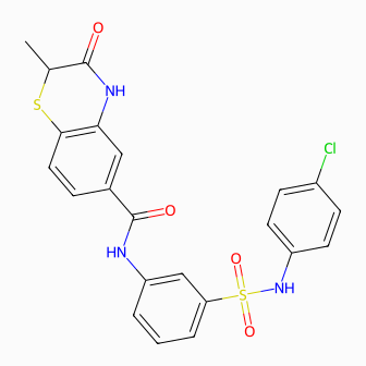 CC1Sc2ccc(C(=O)Nc3cccc(S(=O)(=O)Nc4ccc(Cl)cc4)c3)cc2NC1=O